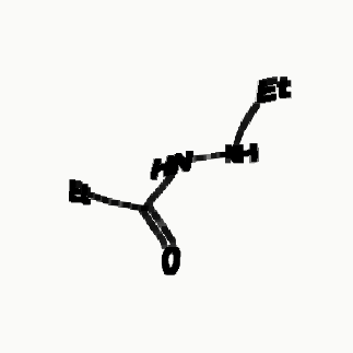 CCNNC(=O)CC